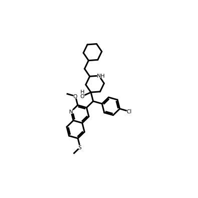 COc1nc2ccc(SC)cc2cc1C(c1ccc(Cl)cc1)C1(O)CCNC(CC2CCCCC2)C1